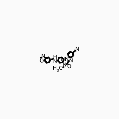 CCN(C(=O)c1nc2cc(C#N)ccc2[nH]1)C1CCCC(NCc2ccc3ocnc3c2)C1